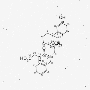 CC1C2CCCC1(c1cccc(O)c1)CCN2C[C@H](Cc1ccccc1)C(=O)NCC(=O)O